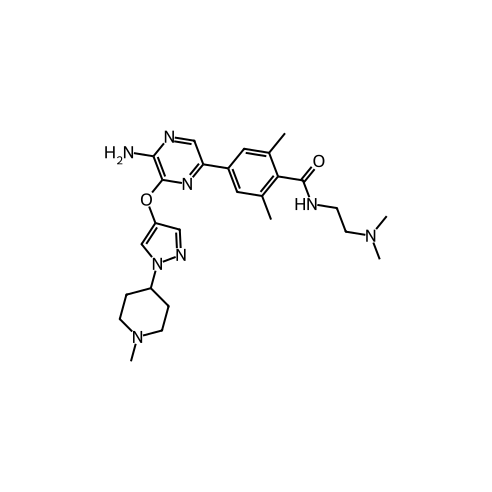 Cc1cc(-c2cnc(N)c(Oc3cnn(C4CCN(C)CC4)c3)n2)cc(C)c1C(=O)NCCN(C)C